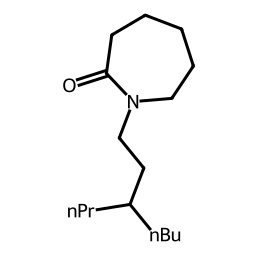 CCCCC(CCC)CCN1CCCCCC1=O